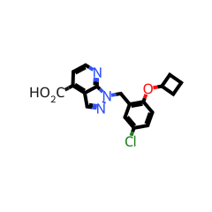 O=C(O)c1ccnc2c1cnn2Cc1cc(Cl)ccc1OC1CCC1